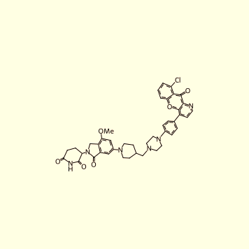 COc1cc(N2CCC(CN3CCN(c4ccc(-c5ccnc6c(=O)c7c(Cl)cccc7oc56)cc4)CC3)CC2)cc2c1CN(C1CCC(=O)NC1=O)C2=O